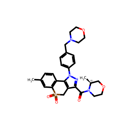 Cc1ccc2c(c1)S(=O)(=O)Cc1c(C(=O)N3CCOC[C@@H]3C)nn(-c3ccc(CN4CCOCC4)cc3)c1-2